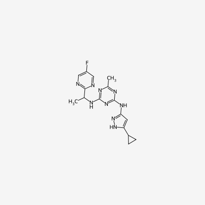 Cc1nc(Nc2cc(C3CC3)[nH]n2)nc(NC(C)c2ncc(F)cn2)n1